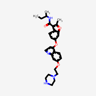 CCC(C)NC(=O)c1c(C)oc2cc(Oc3ccnc4cc(OCCN5CCNCC5)ccc34)ccc12